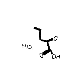 CCCC(=O)C(=O)O.Cl